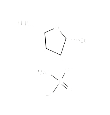 B[C@H]1C[C@@H](OP(=O)(S)OC)[C@@H](CC)O1